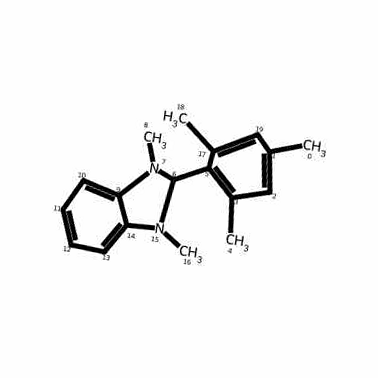 Cc1cc(C)c(C2N(C)c3ccccc3N2C)c(C)c1